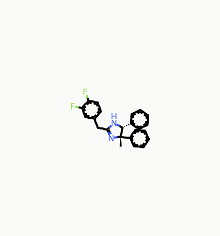 C[C@@]1(c2ccccc2)N=C(Cc2ccc(F)c(F)c2)N[C@@H]1c1ccccc1